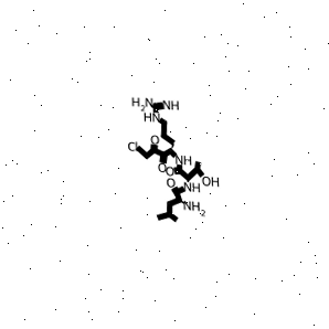 CC(C)C[C@@H](N)C(=O)N[C@H](C(=O)N[C@@H](CCCNC(=N)N)C(=O)C(=O)CCl)C(C)O